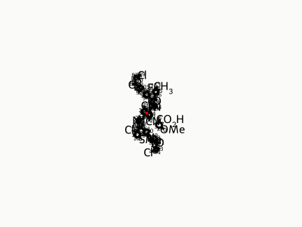 COC1CCCC(C(=O)O)C1.CSc1ccc(Cl)c(C(=O)N(Cc2cncn2Cc2ccc(C#N)cc2)c2ccc(N3CCN(C(=O)c4ccc(Cl)s4)CC3)cc2)c1.Cc1ccc(C(=O)N(Cc2cncn2Cc2ccc(C#N)cc2)c2ccc(N3CCN(C(=O)c4ccc(Cl)s4)CC3)cc2)cc1F